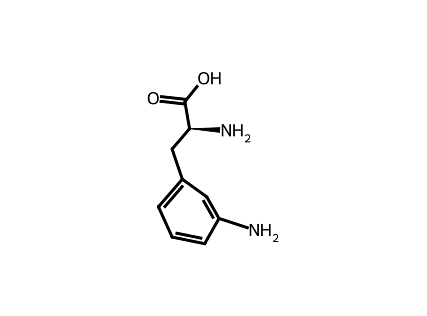 Nc1cccc(C[C@H](N)C(=O)O)c1